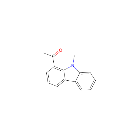 CC(=O)c1cccc2c3ccccc3n(C)c12